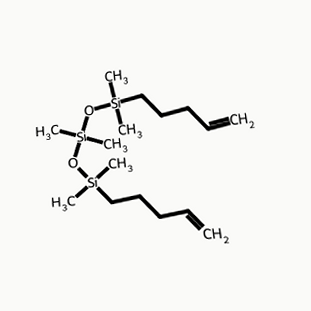 C=CCCC[Si](C)(C)O[Si](C)(C)O[Si](C)(C)CCCC=C